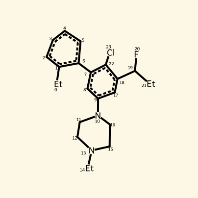 CCc1ccccc1-c1cc(N2CCN(CC)CC2)cc(C(F)CC)c1Cl